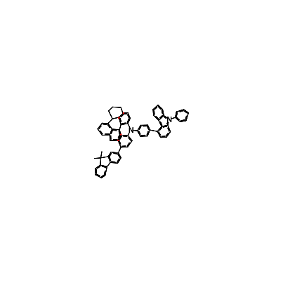 CC1(C)c2ccccc2-c2ccc(-c3ccc(N(c4ccc(-c5cccc6c5c5ccccc5n6-c5ccccc5)cc4)c4ccccc4-c4cccc5cccc(C6CCCCC6)c45)cc3)cc21